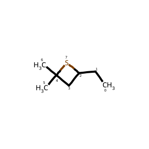 CCC1CC(C)(C)S1